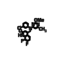 COc1nc(C)cc(N(Cc2cc(=O)[nH]c3c(F)c(F)ccc23)c2cccc(Cl)c2)n1